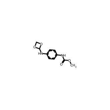 COC(=O)Nc1ccc(NC2OCO2)cc1